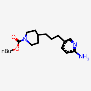 CCCCOC(=O)N1CCC(CCCc2ccc(N)nc2)CC1